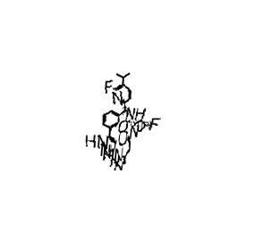 CC(C)c1ccc([C@H](NC(=O)[C@@H]2C[C@@H](F)CN2C(=O)Cc2cnn[nH]2)c2cccc(-c3ccn[nH]3)c2)nc1F